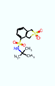 CC(C)(C)NS(=O)(=O)c1cccc2c1CS(=O)(=O)C2